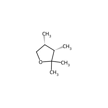 C[C@H]1COC(C)(C)[C@H]1C